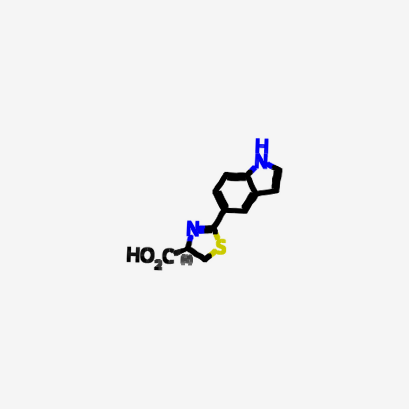 O=C(O)[C@@H]1CSC(c2ccc3[nH]ccc3c2)=N1